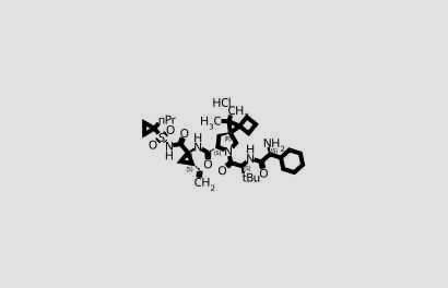 C=C[C@@H]1C[C@]1(NC(=O)[C@@H]1C[C@@]2(CN1C(=O)[C@@H](NC(=O)[C@@H](N)C1CCCCC1)C(C)(C)C)C(C)(C)C21CCC1)C(=O)NS(=O)(=O)C1(CCC)CC1.Cl